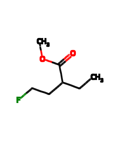 CCC(CCF)C(=O)OC